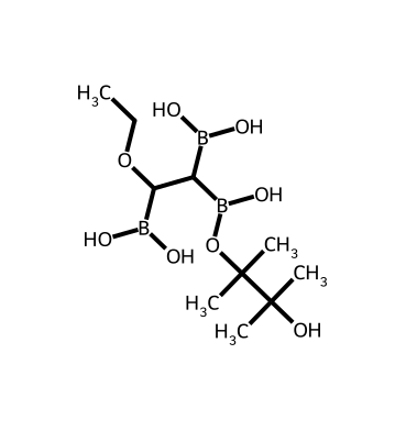 CCOC(B(O)O)C(B(O)O)B(O)OC(C)(C)C(C)(C)O